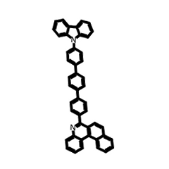 c1ccc2c(c1)ccc1c(-c3ccc(-c4ccc(-c5ccc(-n6c7ccccc7c7ccccc76)cc5)cc4)cc3)nc3ccccc3c12